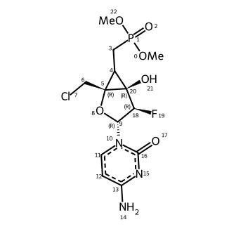 COP(=O)(CC1[C@@]2(CCl)O[C@@H](n3ccc(N)nc3=O)[C@H](F)[C@@]12O)OC